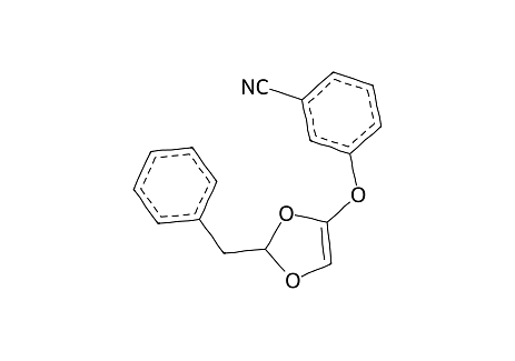 N#Cc1cccc(OC2=COC(Cc3ccccc3)O2)c1